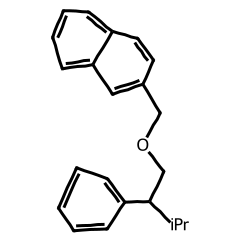 CC(C)C(COCc1ccc2ccccc2c1)c1ccccc1